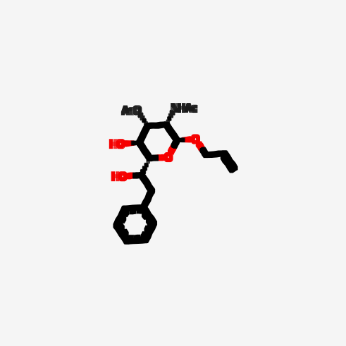 C=CCO[C@H]1O[C@H](C(O)Cc2ccccc2)[C@@H](O)[C@H](OC(C)=O)[C@@H]1NC(C)=O